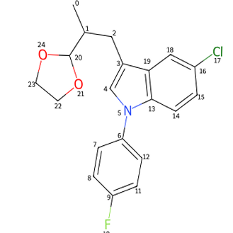 CC(Cc1cn(-c2ccc(F)cc2)c2ccc(Cl)cc12)C1OCCO1